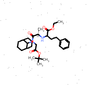 CCOC(=O)C(CCc1ccccc1)N[C@@H](C)C(=O)N(CC(=O)OC(C)(C)C)C1C2CCCC1CCC2